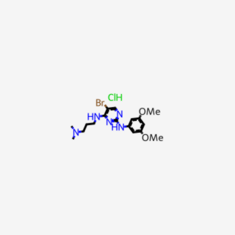 COc1cc(Nc2ncc(Br)c(NCCCN(C)C)n2)cc(OC)c1.Cl